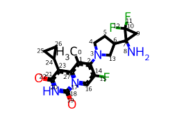 Cc1c(N2CCC(C3(N)CC3(F)F)C2)c(F)cn2c(=O)[nH]c(=O)c(C3CC3)c12